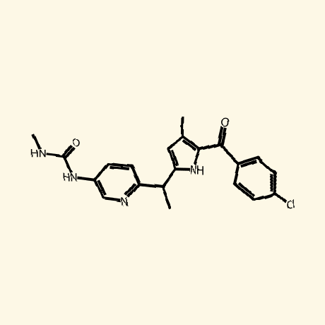 CNC(=O)Nc1ccc(C(C)c2cc(C)c(C(=O)c3ccc(Cl)cc3)[nH]2)nc1